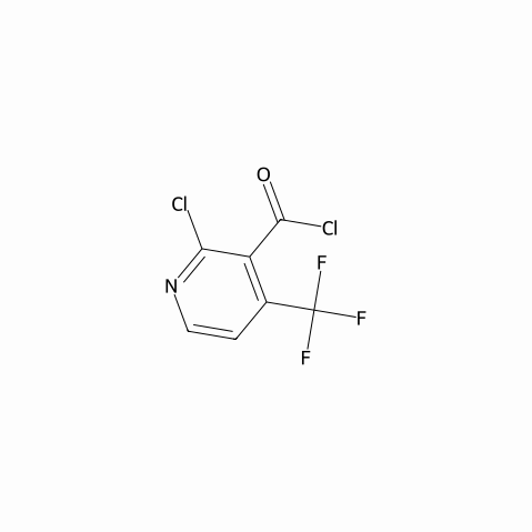 O=C(Cl)c1c(C(F)(F)F)ccnc1Cl